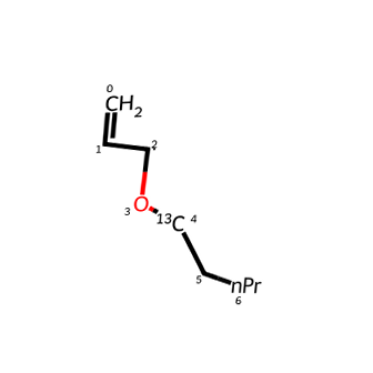 C=C[CH]O[13CH2]CCCC